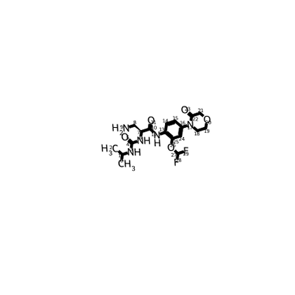 CC(C)NC(=O)N[C@@H](CN)C(=O)Nc1ccc(N2CCOCC2=O)cc1OC(F)F